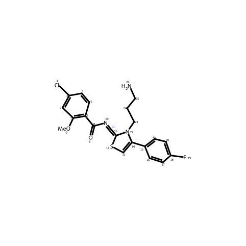 COc1cc(Cl)ccc1C(=O)/N=c1\scc(-c2ccc(F)cc2)n1CCCN